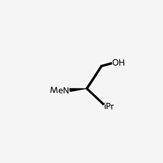 CN[C@@H](CO)C(C)C